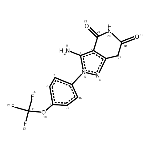 Nc1c2c(nn1-c1ccc(OC(F)(F)F)cc1)CC(=O)NC2=O